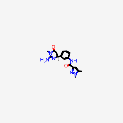 Cc1cc(C(=O)Nc2cccc([C@]3(C)CC(=O)N(C)C(N)=N3)c2)nn1C